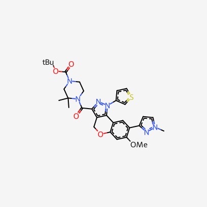 COc1cc2c(cc1-c1ccn(C)n1)-c1c(c(C(=O)N3CCN(C(=O)OC(C)(C)C)CC3(C)C)nn1-c1ccsc1)CO2